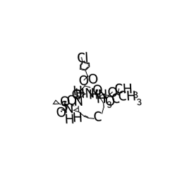 CC(C)(C)OC(=O)N[C@H]1CCCCC/C=C\[C@@H]2C[C@@]2(C(=O)NS(=O)(=O)C2CC2)NC(=O)[C@@H]2C[C@@H](OC(=O)c3ccc(Cl)cc3)CN2C1=O